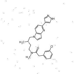 CC(CCN(C)C(=O)Cc1cccc(Cl)c1)Cn1ccc2nc(-c3cn[nH]c3)ccc21